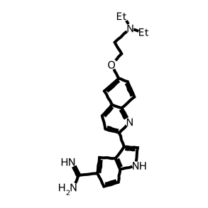 CCN(CC)CCOc1ccc2nc(-c3c[nH]c4ccc(C(=N)N)cc34)ccc2c1